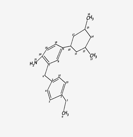 CCc1ccc(Cc2cc(C3CC(C)CC(C)C3)ccc2N)cc1